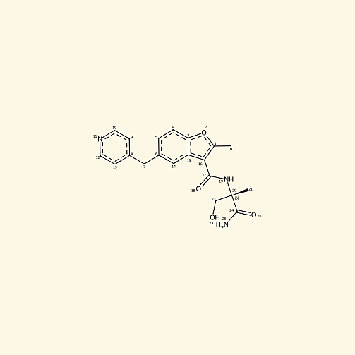 Cc1oc2ccc(Cc3ccncc3)cc2c1C(=O)N[C@@](C)(CO)C(N)=O